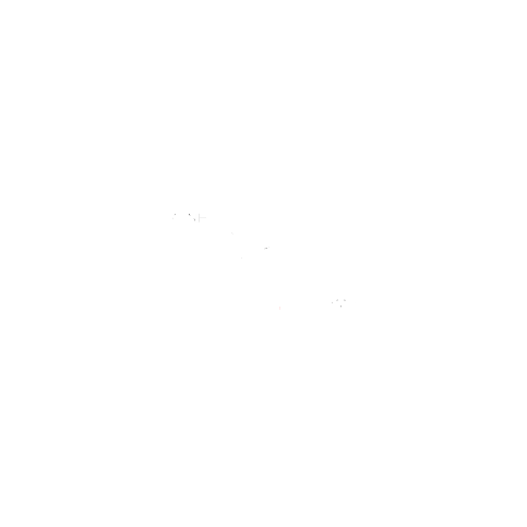 COC(=O)CC12CC(NC(C)=O)(C1)C2